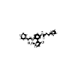 Cn1ncc(Cl)c1-c1cc(NC(=O)CCc2nccs2)ccc1OCCN1CCOCC1